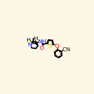 C[C@H]1[C@H](NC(=O)c2ccc(Oc3ccccc3C#N)s2)C2CCN1CC2